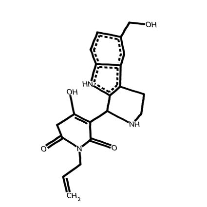 C=CCN1C(=O)CC(O)=C(C2NCCc3c2[nH]c2ccc(CO)cc32)C1=O